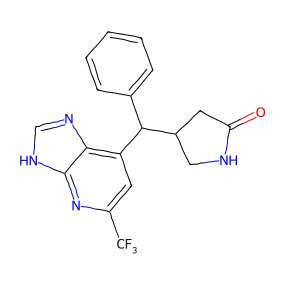 O=C1CC(C(c2ccccc2)c2cc(C(F)(F)F)nc3[nH]cnc23)CN1